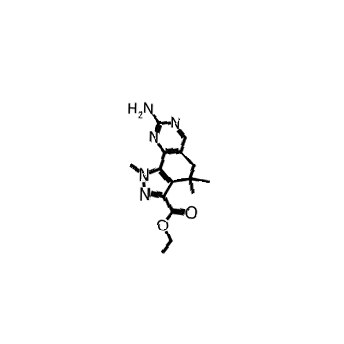 CCOC(=O)c1nn(C)c2c1C(C)(C)Cc1cnc(N)nc1-2